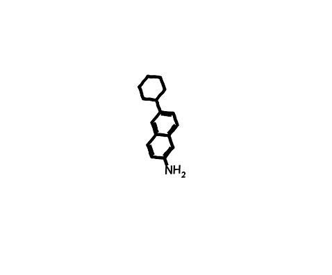 Nc1ccc2cc(C3CCCCC3)ccc2c1